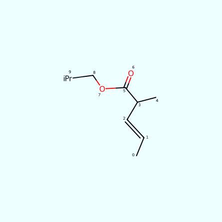 CC=CC(C)C(=O)OCC(C)C